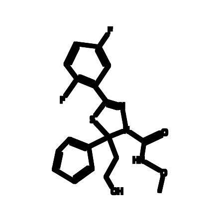 CONC(=O)N1N=C(c2cc(F)ccc2F)SC1(CCO)c1ccccc1